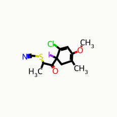 COC1=C(C)CC(I)(C(=O)C(C)SC#N)C(Cl)=C1